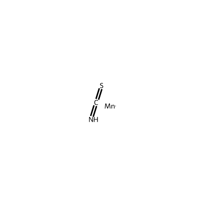 N=C=S.[Mn]